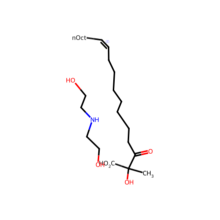 CCCCCCCC/C=C\CCCCCCCC(=O)C(C)(O)C(=O)O.OCCNCCO